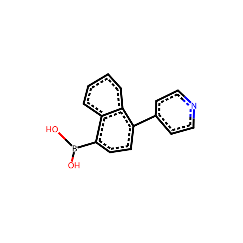 OB(O)c1ccc(-c2ccncc2)c2ccccc12